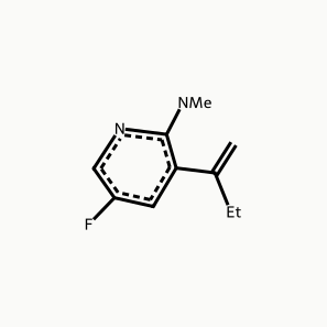 C=C(CC)c1cc(F)cnc1NC